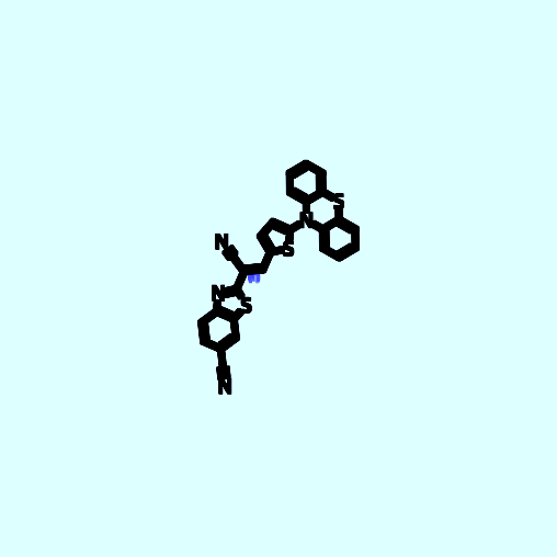 N#C/C(=C\c1ccc(N2c3ccccc3Sc3ccccc32)s1)c1nc2ccc(C#N)cc2s1